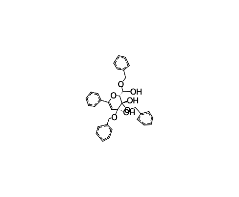 OC(OCc1ccccc1)[C@H]1OC(c2ccccc2)=C[C@](O)(OCc2ccccc2)[C@@]1(O)OCc1ccccc1